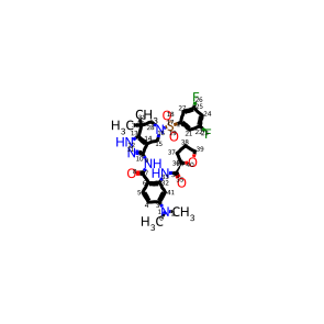 CN(C)c1ccc(C(=O)Nc2n[nH]c3c2CN(S(=O)(=O)c2cc(F)cc(F)c2)CC3(C)C)c(NC(=O)[C@H]2CCCO2)c1